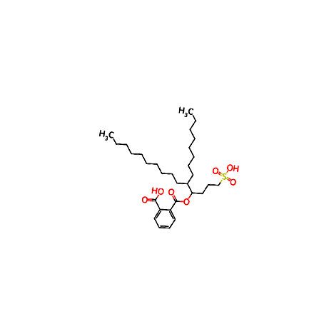 CCCCCCCCCCC(CCCCCCCC)C(CCCS(=O)(=O)O)OC(=O)c1ccccc1C(=O)O